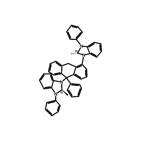 C[C@@H]1N(c2ccccc2)c2ccccc2N1c1cccc2c1Cc1ccccc1C2(c1ccccc1)N1c2ccccc2N(c2ccccc2)[C@@H]1C